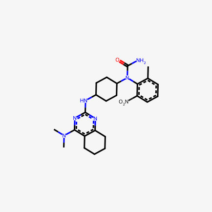 Cc1cccc([N+](=O)[O-])c1N(C(N)=O)C1CCC(Nc2nc3c(c(N(C)C)n2)CCCC3)CC1